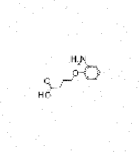 Nc1ccccc1OCCCC(=O)O